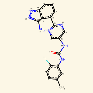 Cc1ccc(F)c(NC(=O)Nc2cnc(-c3cccc4[nH]nc(N)c34)nc2)c1